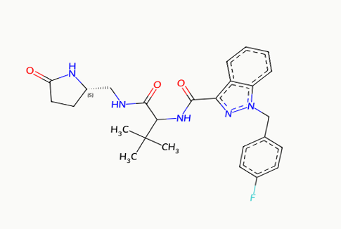 CC(C)(C)C(NC(=O)c1nn(Cc2ccc(F)cc2)c2ccccc12)C(=O)NC[C@@H]1CCC(=O)N1